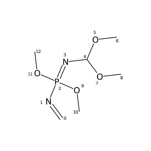 C=NP(=NC(OC)OC)(OC)OC